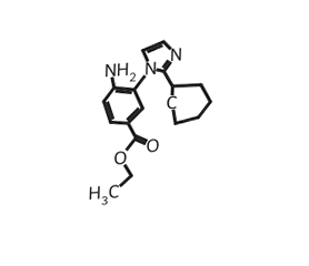 CCOC(=O)c1ccc(N)c(-n2ccnc2C2CCCCC2)c1